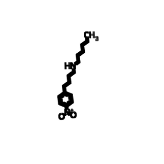 CCCCCCNCCCCc1ccc([N+](=O)[O-])cc1